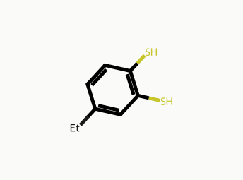 CCc1ccc(S)c(S)c1